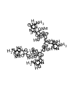 CO[C@H]1C(O)[C@@H](COP(=O)(O)OC2[C@@H](COP(=O)(O)OCC(COP(=O)(O)OC3[C@@H](CO)O[C@@H](n4cnc5c(=O)[nH]c(N)nc54)[C@H]3OC)NCc3c[nH]c4c(N)ncnc34)O[C@@H](n3cnc4c(=O)[nH]c(N)nc43)[C@H]2OC)O[C@H]1n1cnc2c(N)ncnc21